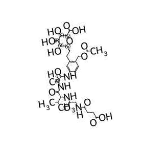 CC(=O)OCc1ccc(NC(=O)[C@H](C)NC(=O)C(NC(=O)CNC(=O)CCC(=O)O)C(C)C)cc1CC[C@@H]1O[C@H](C(=O)O)[C@@H](O)[C@H](O)[C@H]1O